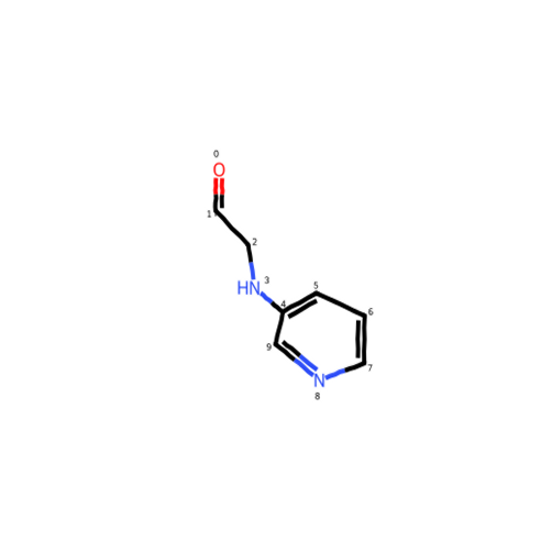 O=[C]CNc1cccnc1